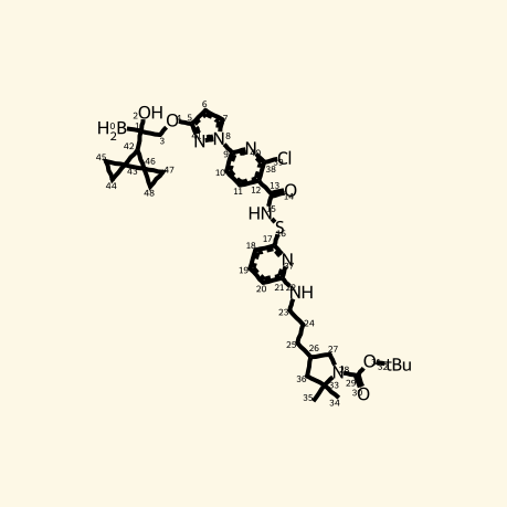 BC(O)(COc1ccn(-c2ccc(C(=O)NSc3cccc(NCCCC4CN(C(=O)OC(C)(C)C)C(C)(C)C4)n3)c(Cl)n2)n1)C1C2(CC2)C12CC2